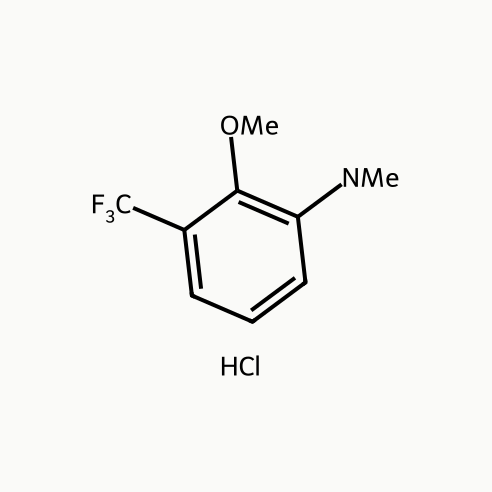 CNc1cccc(C(F)(F)F)c1OC.Cl